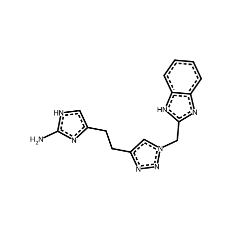 Nc1nc(CCc2cn(Cc3nc4ccccc4[nH]3)nn2)c[nH]1